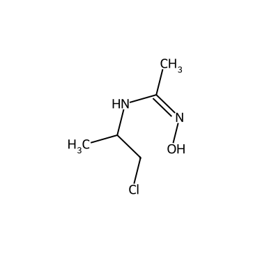 CC(=NO)NC(C)CCl